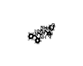 Cn1cc(C(=N)OC(=N)N[C@H]2N=C(c3ccccc3)c3ccccc3NC2=O)c(N2CCOCC2)n1